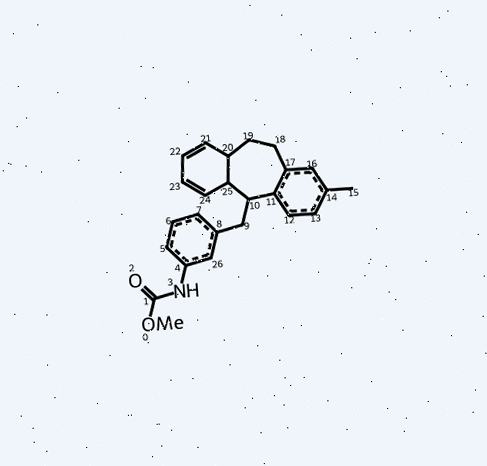 COC(=O)Nc1cccc(CC2c3ccc(C)cc3CCC3C=CC=CC32)c1